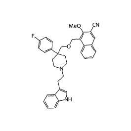 COc1c(C#N)cc2ccccc2c1COCC1(c2ccc(F)cc2)CCN(CCc2c[nH]c3ccccc23)CC1